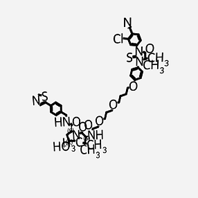 CC(C)(C)[C@H](NC(=O)COCCCOCCCCOc1ccc(N2C(=S)N(c3ccc(C#N)c(Cl)c3)C(=O)C2(C)C)cc1)C(=O)N1C[C@H](O)C[C@H]1C(=O)NCc1ccc(-c2cncs2)cc1